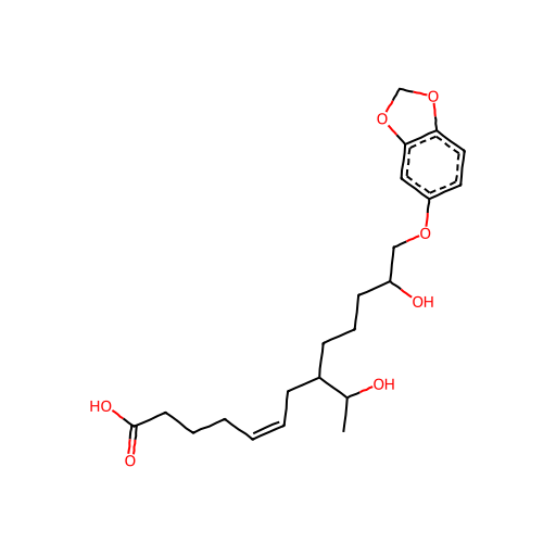 CC(O)C(C/C=C\CCCC(=O)O)CCCC(O)COc1ccc2c(c1)OCO2